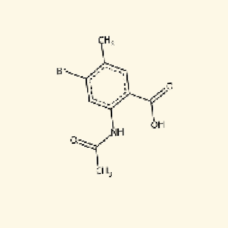 CC(=O)Nc1cc(Br)c(C)cc1C(=O)O